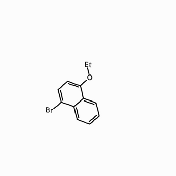 [CH2]COc1ccc(Br)c2ccccc12